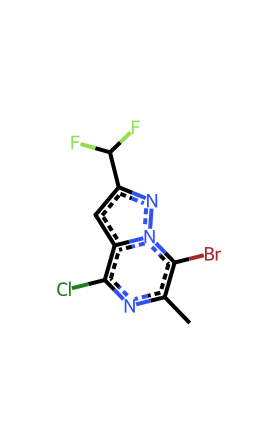 Cc1nc(Cl)c2cc(C(F)F)nn2c1Br